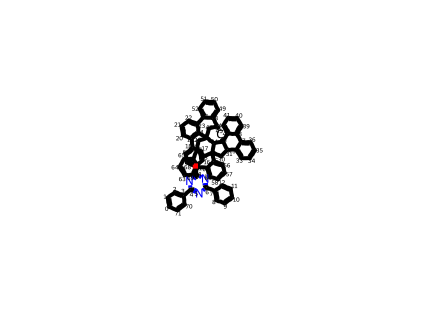 c1ccc(-c2nc(-c3ccccc3)nc(-c3ccc(-c4cccc5c4C46CC7CC8(CC9c%10ccccc%10-c%10ccccc%10C9(CC(C4)c4ccccc4-5)C86)c4ccccc4-c4ccccc47)cc3)n2)cc1